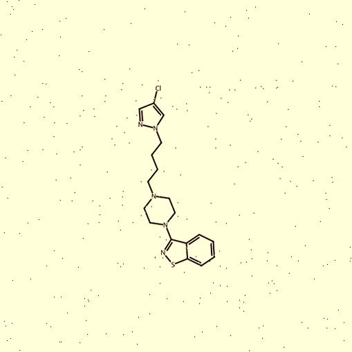 Clc1cnn(CCCCN2CCN(c3nsc4ccccc34)CC2)c1